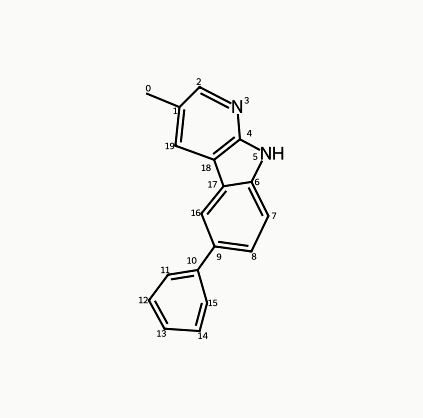 Cc1cnc2[nH]c3ccc(-c4ccccc4)cc3c2c1